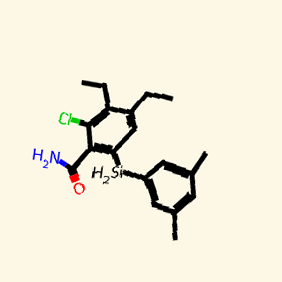 CCc1cc([SiH2]c2cc(C)cc(C)c2)c(C(N)=O)c(Cl)c1CC